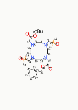 CC(C)(C)OC(=O)CN1CCN(CP(C)(C)=O)CCN(CC(=O)OCc2ccccc2)CCN(CP(C)(C)=O)CC1